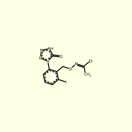 CCC(C)=NOCc1c(I)cccc1-n1nn[nH]c1=O